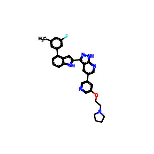 Cc1cc(F)cc(-c2cccc3[nH]c(-c4n[nH]c5ncc(-c6cncc(OCCN7CCCC7)c6)cc45)cc23)c1